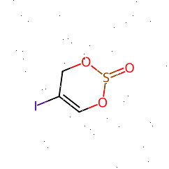 O=S1OC=C(I)CO1